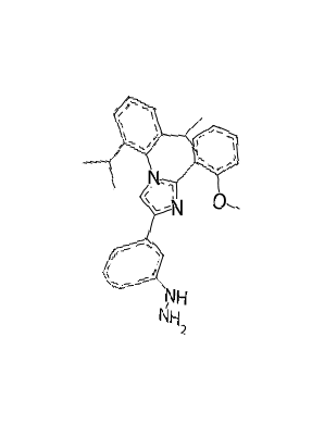 COc1ccccc1-c1nc(-c2cccc(NN)c2)cn1-c1c(C(C)C)cccc1C(C)C